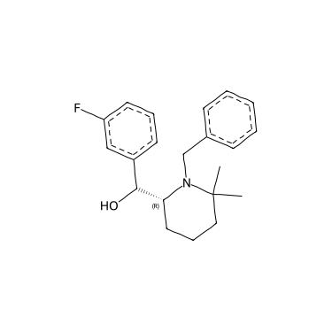 CC1(C)CCC[C@H](C(O)c2cccc(F)c2)N1Cc1ccccc1